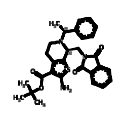 C[C@@H](c1ccccc1)N1CCc2c(sc(N)c2C(=O)OC(C)(C)C)[C@@H]1CN1C(=O)c2ccccc2C1=O